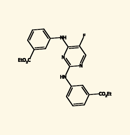 CCOC(=O)c1cccc(Nc2ncc(F)c(Nc3cccc(C(=O)OCC)c3)n2)c1